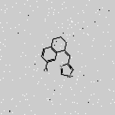 Clc1ccc2c(c1)/C(=C\c1c[nH]cn1)CCC2